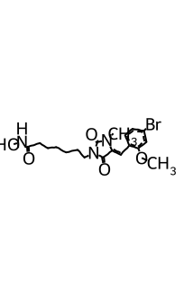 COc1cc(Br)ccc1C=C1C(=O)N(CCCCCCC(=O)NO)C(=O)N1C